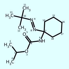 CC(C)OC(=O)NC1(N=NC(C)(C)C)CCCCC1